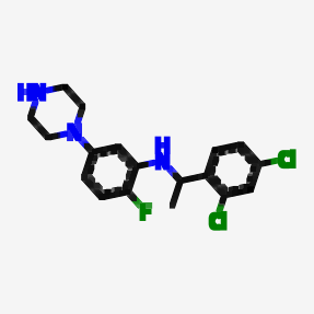 CC(Nc1cc(N2CCNCC2)ccc1F)c1ccc(Cl)cc1Cl